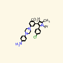 Cc1c(C(=O)O)c(-c2cccc(N3CCN(c4ccc(N)cc4)CC3)c2)c(-c2ccc(Cl)cc2)n1C(C)C